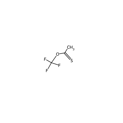 CC(=S)OC(F)(F)F